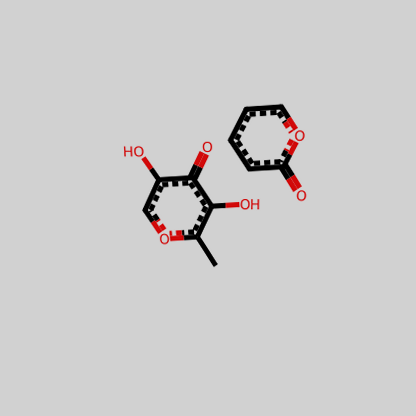 Cc1occ(O)c(=O)c1O.O=c1cccco1